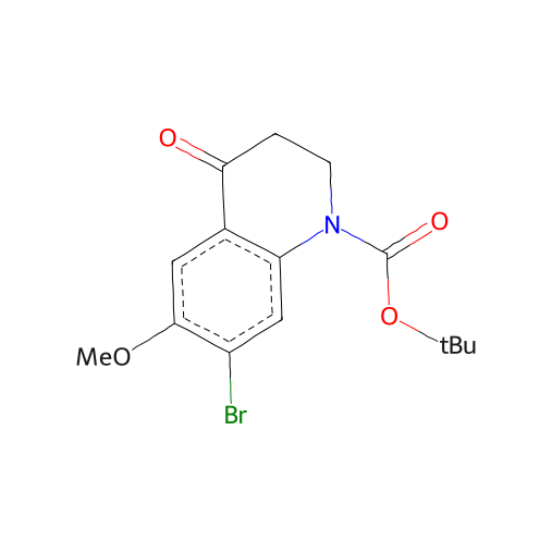 COc1cc2c(cc1Br)N(C(=O)OC(C)(C)C)CCC2=O